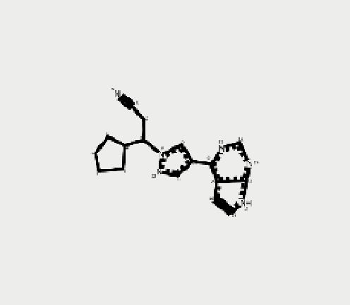 N#CCC(C1CCCC1)n1cc(-c2ncnc3[nH]c#cc23)cn1